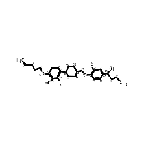 C=CCCCOc1ccc(C2CCC(COc3ccc(C(O)CCC)cc3F)CC2)c(F)c1F